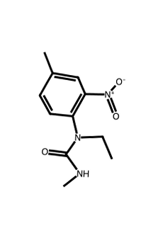 CCN(C(=O)NC)c1ccc(C)cc1[N+](=O)[O-]